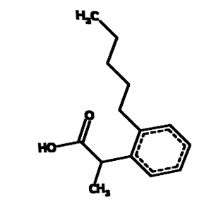 CCCCCc1ccccc1C(C)C(=O)O